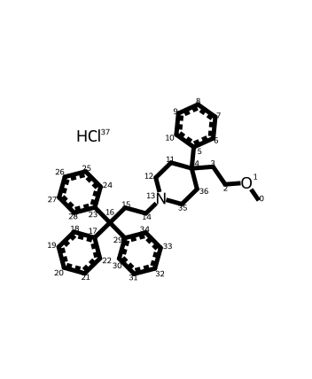 COCCC1(c2ccccc2)CCN(CCC(c2ccccc2)(c2ccccc2)c2ccccc2)CC1.Cl